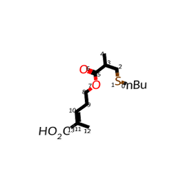 CCCCSCC(C)C(=O)OCCC=C(C)C(=O)O